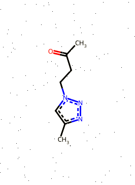 CC(=O)CCn1cc(C)nn1